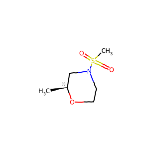 C[C@H]1CN(S(C)(=O)=O)CCO1